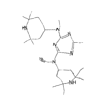 CCCCN(c1nc(C)nc(N(C)C2CC(C)(C)NC(C)(C)C2)n1)C1CC(C)(C)NC(C)(C)C1